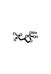 CCS(=O)(=O)CC1CO[P](O)(OC)O1